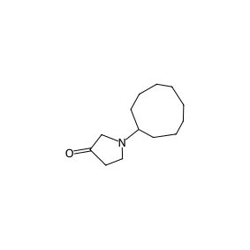 O=C1CCN(C2CCCCCCCC2)C1